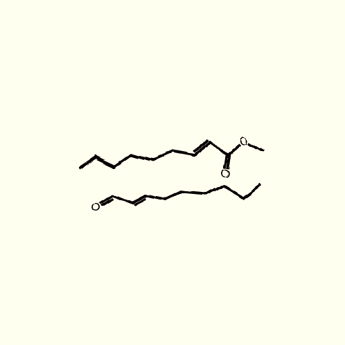 CCCCCCC=CC(=O)OC.CCCCCCC=CC=O